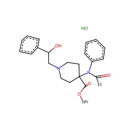 CCCOC(=O)C1(N(C(=O)CC)c2ccccc2)CCN(CC(O)c2ccccc2)CC1.Cl